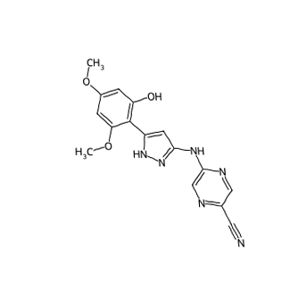 COc1cc(O)c(-c2cc(Nc3cnc(C#N)cn3)n[nH]2)c(OC)c1